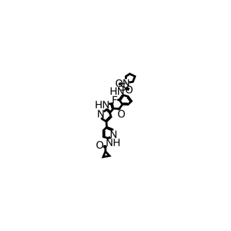 O=C(c1cccc(NS(=O)(=O)N2CCCC2)c1F)c1c[nH]c2ncc(-c3ccc(NC(=O)C4CC4)nc3)cc12